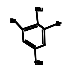 CC(C)(C)c1cc(Br)c(C(C)(C)C)c(Br)c1